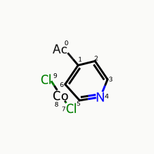 CC(=O)c1ccncc1.[Cl][Co][Cl]